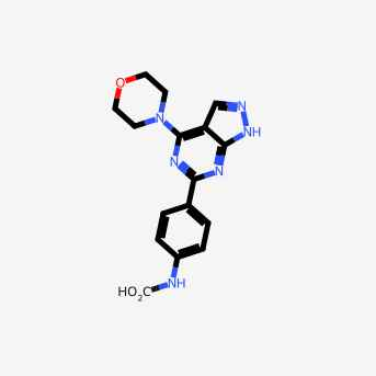 O=C(O)Nc1ccc(-c2nc(N3CCOCC3)c3cn[nH]c3n2)cc1